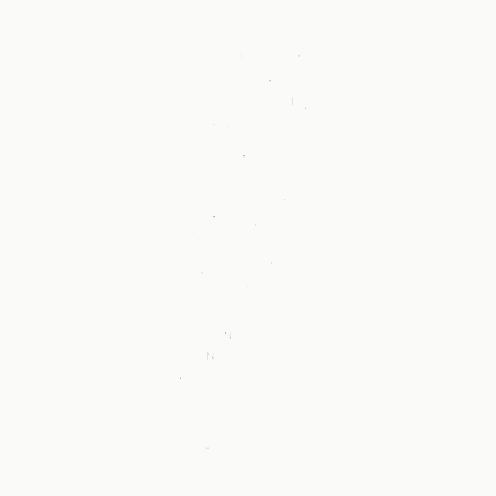 O=C1C(Cc2c(Cl)cc(OS(=O)(=O)C(F)(F)F)cc2Cl)CCN1N1CCOCC1